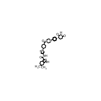 CC1(C)CCc2c(C(=O)Nc3cnn(C4CCC(C(=O)N5CCN(c6ccc([C@H]7CCC(=O)NC7=O)cc6)CC5)CC4)c3)n[nH]c2C1